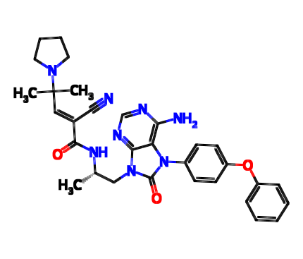 C[C@@H](Cn1c(=O)n(-c2ccc(Oc3ccccc3)cc2)c2c(N)ncnc21)NC(=O)/C(C#N)=C/C(C)(C)N1CCCC1